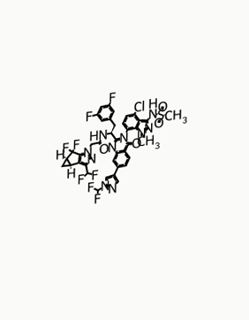 Cn1nc(NS(C)(=O)=O)c2c(Cl)ccc(-n3c([C@H](Cc4cc(F)cc(F)c4)NC(=O)Cn4nc(C(F)F)c5c4C(F)(F)[C@@H]4C[C@H]54)nc4cc(-c5cnn(C(F)F)c5)ccc4c3=O)c21